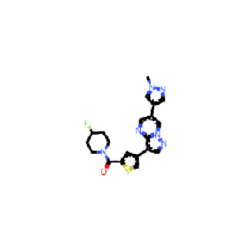 Cn1cc(-c2cnc3c(-c4csc(C(=O)N5CCC(F)CC5)c4)cnn3c2)cn1